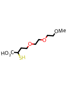 COCCOCCOCCC(S)C(=O)O